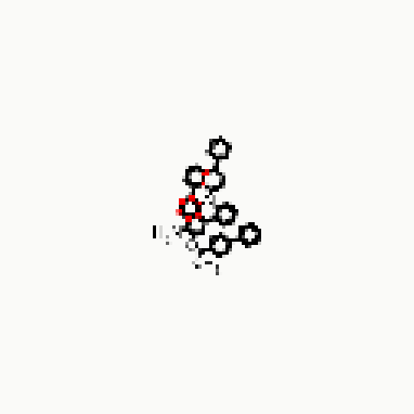 CC(Oc1cc(-c2ccccc2N(C2=CCC(c3ccccc3)CC2)c2ccccc2-c2ccccc2)c2ccccc2c1N)c1ccc(-c2ccccc2)cc1